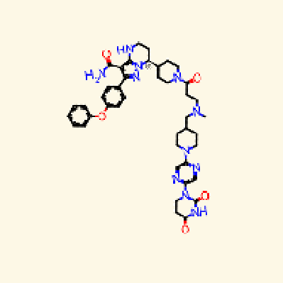 CN(CCC(=O)N1CCC([C@@H]2CCNc3c(C(N)=O)c(-c4ccc(Oc5ccccc5)cc4)nn32)CC1)CC1CCN(c2cnc(N3CCC(=O)NC3=O)cn2)CC1